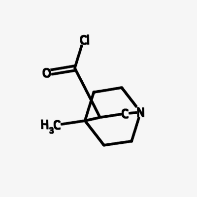 CC12CCN(CC1)CC2C(=O)Cl